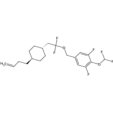 C=CCC[C@H]1CC[C@H](CC(F)(F)OCc2cc(F)c(OC(F)F)c(F)c2)CC1